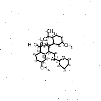 CC1CCC(C(C)C)C(C(C)C([CH2][AlH][CH]2CCCCO2)C2CC(C)CCC2C(C)C)C1